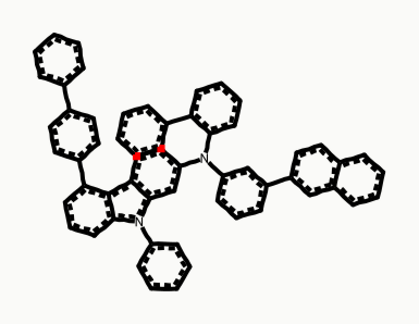 c1ccc(-c2ccc(-c3cccc4c3c3ccc(N(c5cccc(-c6ccc7ccccc7c6)c5)c5ccccc5-c5ccccc5)cc3n4-c3ccccc3)cc2)cc1